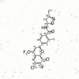 Cc1cc(C(=O)/C=C(\c2cc(Cl)c(F)c(Cl)c2)C(F)(F)F)ccc1C(=O)NC1CC(I)=NO1